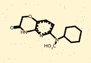 O=C1COc2ccc(N(C(=O)O)C3CCCCC3)nc2N1